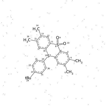 Cc1cc2c(cc1C)S(=O)(=O)c1cc(C)c(C)cc1[S+]2c1ccc(C(C)(C)C)cc1